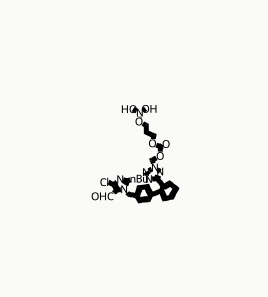 CCCCc1nc(Cl)c(C=O)n1Cc1ccc(-c2ccccc2-c2nnn(COC(=O)OCCCON(O)O)n2)cc1